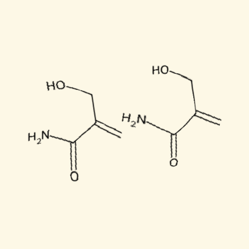 C=C(CO)C(N)=O.C=C(CO)C(N)=O